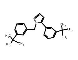 CC(C)(C)c1cccc(Cn2nccc2-c2cccc(C(C)(C)C)c2)c1